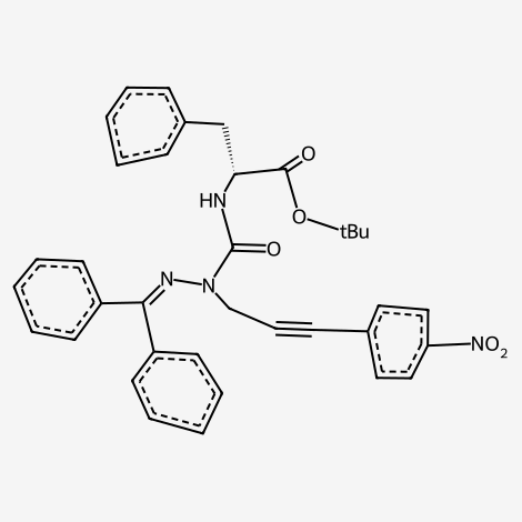 CC(C)(C)OC(=O)[C@@H](Cc1ccccc1)NC(=O)N(CC#Cc1ccc([N+](=O)[O-])cc1)N=C(c1ccccc1)c1ccccc1